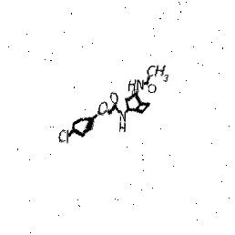 CC(=O)N[C@H]1CC(NC(=O)COc2ccc(Cl)cc2)C2CCC21